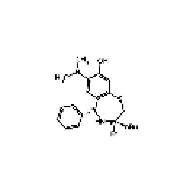 CCCC[C@]1(CC)CSc2cc(O)c(N(C)C)cc2[C@@H](c2ccccc2)N1